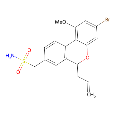 C=CCC1Oc2cc(Br)cc(OC)c2-c2ccc(CS(N)(=O)=O)cc21